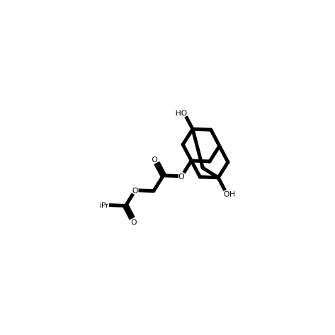 CC(C)C(=O)OCC(=O)OC12CC3CC(O)(CC(O)(C3)C1)C2